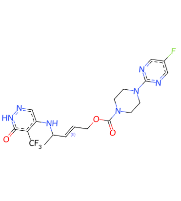 CC(/C=C/COC(=O)N1CCN(c2ncc(F)cn2)CC1)Nc1cn[nH]c(=O)c1C(F)(F)F